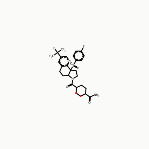 NC(=O)C12CCC(C(=O)N3CCC4(S(=O)(=O)c5ccc(F)cc5)c5ncc(C(F)(C(F)(F)F)C(F)(F)F)cc5CCC34)(CC1)CC2